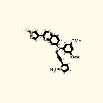 COc1cc(OC)cc(N(CC#Cc2cccn2C)c2ccc3ncc(-c4cnn(C)c4)nc3c2)c1